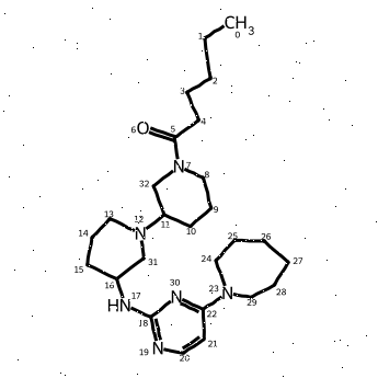 CCCCCC(=O)N1CCCC(N2CCCC(Nc3nccc(N4CCCCCC4)n3)C2)C1